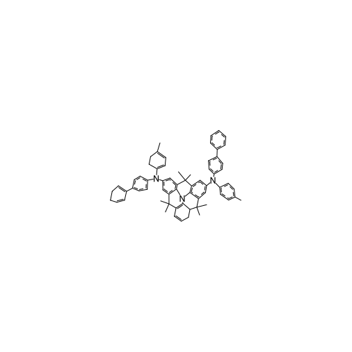 CC1=CC=C(N(c2ccc(C3=CCCC=C3)cc2)c2cc3c4c(c2)C(C)(C)c2cc(N(c5ccc(C)cc5)c5ccc(-c6ccccc6)cc5)cc5c2N4C2=C(C=CCC2C5(C)C)C3(C)C)CC1